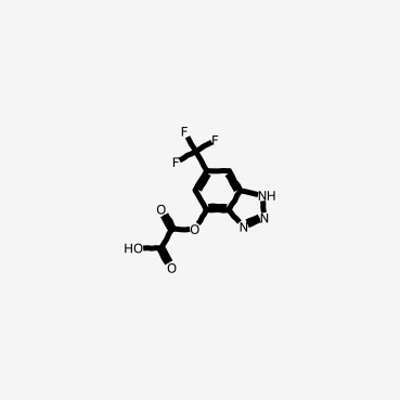 O=C(O)C(=O)Oc1cc(C(F)(F)F)cc2[nH]nnc12